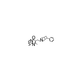 Cc1nc2sccn2c(=O)c1CCN1CC2CC(c3ccccc3)C2C1